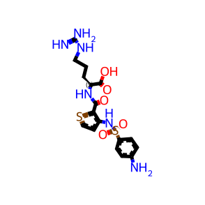 N=C(N)NCCC[C@H](NC(=O)c1sccc1NS(=O)(=O)c1ccc(N)cc1)C(=O)O